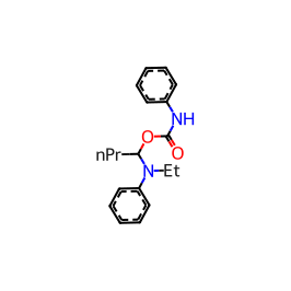 CCCC(OC(=O)Nc1ccccc1)N(CC)c1ccccc1